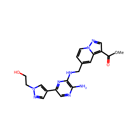 COC(=O)c1cnn2ccc(CNc3nc(-c4cnn(CCO)c4)cnc3N)cc12